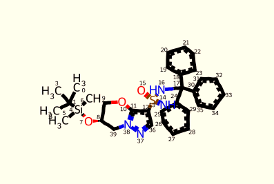 CC(C)(C)[Si](C)(C)O[C@H]1COc2c(S(=N)(=O)NC(c3ccccc3)(c3ccccc3)c3ccccc3)cnn2C1